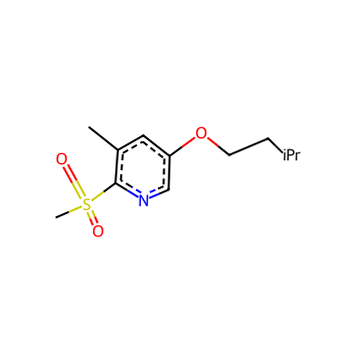 Cc1cc(OCCC(C)C)cnc1S(C)(=O)=O